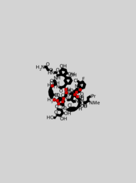 CN[C@H](CC(C)C)C(=O)N[C@H]1C(=O)N[C@@H](CC(N)=O)C(=O)N[C@H]2C(=O)N[C@H]3C(=O)N[C@H](C(=O)N[C@@H](C(=O)NOCC(N)=O)c4cc(O)cc(O)c4-c4cc3ccc4O)[C@H](O)c3ccc(c(Cl)c3)Oc3cc2cc(c3O[C@@H]2O[C@H](CO)[C@@H](O)[C@H](O)[C@H]2O[C@H]2C[C@](C)(NCc3cncc(NC(=O)c4ccc(F)c(Cl)c4)c3)[C@H](O)[C@H](C)O2)Oc2ccc(cc2Cl)[C@H]1O